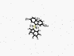 CCC12C=CC(C(C)C)=CC1C(S(CC)(CC)C1C(C)C(C)C3C(C)C(C)C(C)C(C)C31)C1C=C(C(C)(C)C)C=CC12